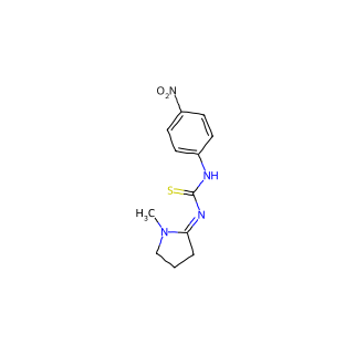 CN1CCCC1=NC(=S)Nc1ccc([N+](=O)[O-])cc1